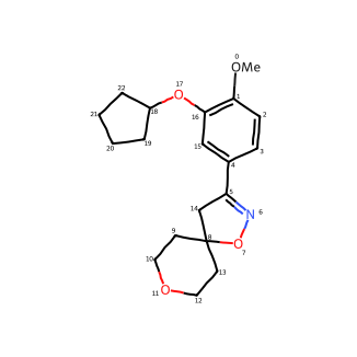 COc1ccc(C2=NOC3(CCOCC3)C2)cc1OC1CCCC1